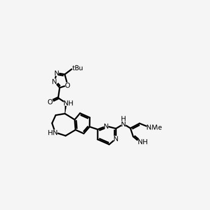 CN/C=C(\C=N)Nc1nccc(-c2ccc3c(c2)CNCC[C@H]3NC(=O)c2nnc(C(C)(C)C)o2)n1